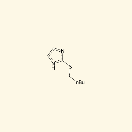 CCCCCSc1ncc[nH]1